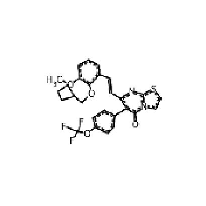 COc1cccc(C=Cc2nc3sccn3c(=O)c2-c2ccc(OC(F)(F)F)cc2)c1OCC1CCC1